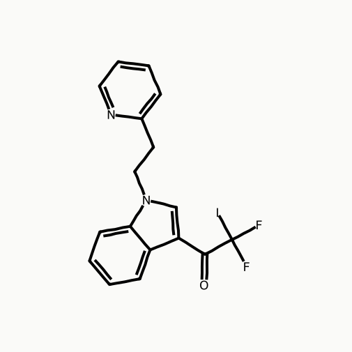 O=C(c1cn(CCc2ccccn2)c2ccccc12)C(F)(F)I